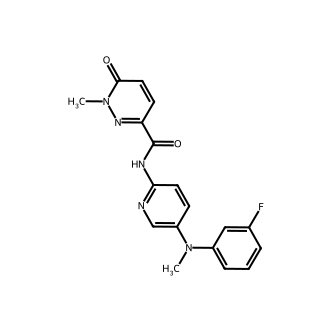 CN(c1ccc(NC(=O)c2ccc(=O)n(C)n2)nc1)c1cccc(F)c1